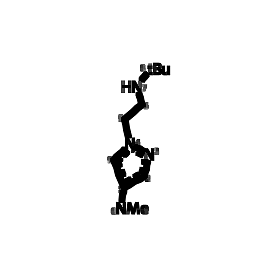 CNc1cnn(CCNC(C)(C)C)c1